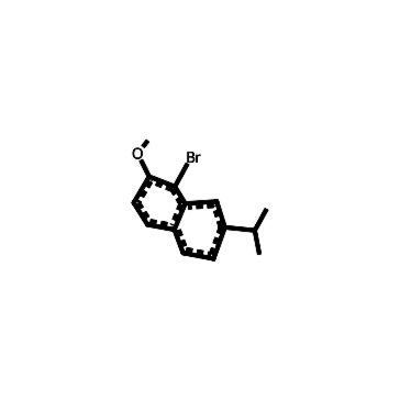 COc1ccc2ccc(C(C)C)cc2c1Br